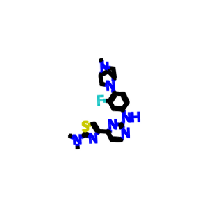 CN(C)c1nc(-c2ccnc(Nc3ccc(N4CC5CC4CN5C)c(F)c3)n2)cs1